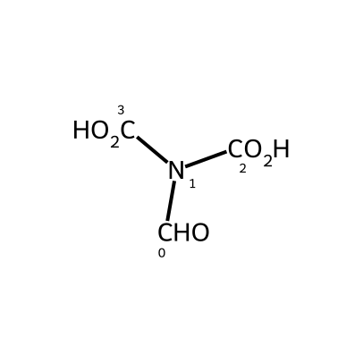 O=CN(C(=O)O)C(=O)O